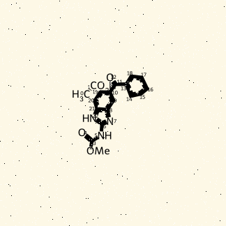 CC(=O)O.COC(=O)Nc1nc2cc(C(=O)c3ccccc3)ccc2[nH]1